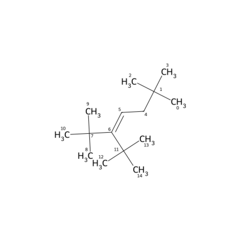 CC(C)(C)CC=C(C(C)(C)C)C(C)(C)C